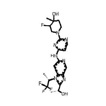 C[C@H](n1c([C@@H](C)O)nc2cnc(Nc3ccnc(N4CCC(C)(O)C(F)C4)n3)cc21)C(F)(F)F